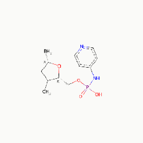 B[C@H]1CC(C)[C@@H](COP(=O)(O)Nc2ccncc2)O1